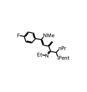 C=C(/C=C(\NC)c1ccc(F)cc1)/C(=N\CC)C(CCC)C(C)CCC